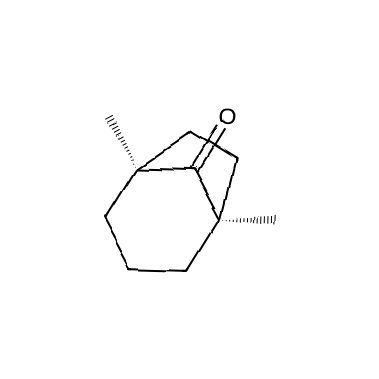 C[C@]12CCC[C@](C)(CC1)C2=O